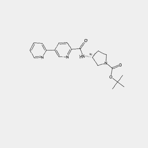 CC(C)(C)OC(=O)N1CC[C@@H](NC(=O)c2ccc(-c3ccccn3)cn2)C1